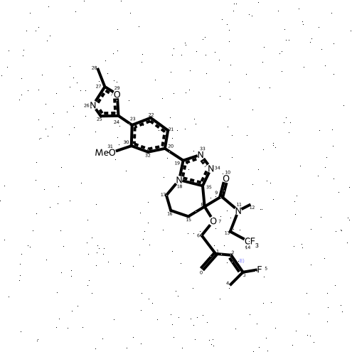 C=C(/C=C(\C)F)COC1(C(=O)N(C)CC(F)(F)F)CCCn2c(-c3ccc(-c4cnc(C)o4)c(OC)c3)nnc21